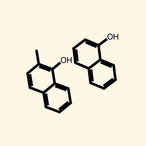 Cc1ccc2ccccc2c1O.Oc1cccc2ccccc12